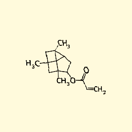 C=CC(=O)OC1CC2C3(C)CC4(C)CC1(C)C243